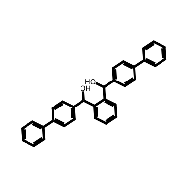 OC(c1ccc(-c2ccccc2)cc1)c1ccccc1C(O)c1ccc(-c2ccccc2)cc1